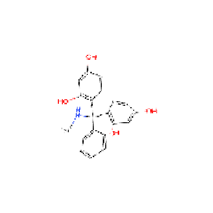 CCCCNC(c1ccccc1)(c1ccc(O)cc1O)c1ccc(O)cc1O